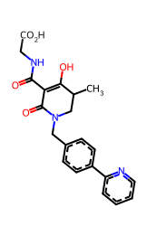 CC1CN(Cc2ccc(-c3ccccn3)cc2)C(=O)C(C(=O)NCC(=O)O)=C1O